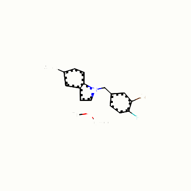 CC(=O)Oc1ccc2c(ccn2Cc2ccc(F)c(Br)c2)c1.CCOC=O